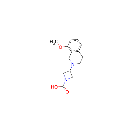 COc1cccc2c1CN(C1CN(C(=O)O)C1)CC2